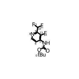 CC(C)(C)OC(=O)Nc1ccnc(C(F)F)c1F